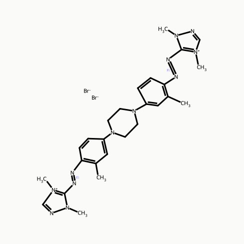 Cc1cc(N2CCN(c3ccc(/N=N/c4n(C)nc[n+]4C)c(C)c3)CC2)ccc1/N=N/c1n(C)nc[n+]1C.[Br-].[Br-]